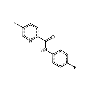 O=C(Nc1ccc(F)cc1)c1ccc(F)cn1